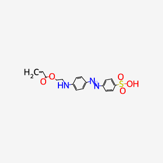 C=CC(=O)OCCNc1ccc(/N=N/c2ccc(S(=O)(=O)O)cc2)cc1